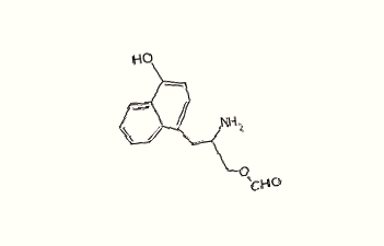 NC(COC=O)Cc1ccc(O)c2ccccc12